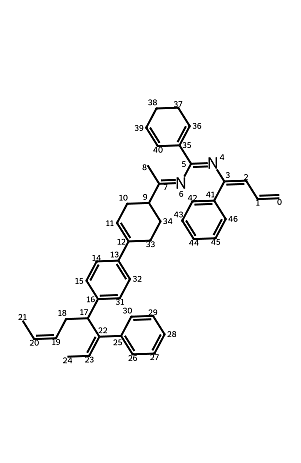 C=C/C=C(/N=C(\N=C(/C)C1CC=C(c2ccc(C(C/C=C\C)/C(=C\C)c3ccccc3)cc2)CC1)C1=CCCC=C1)c1ccccc1